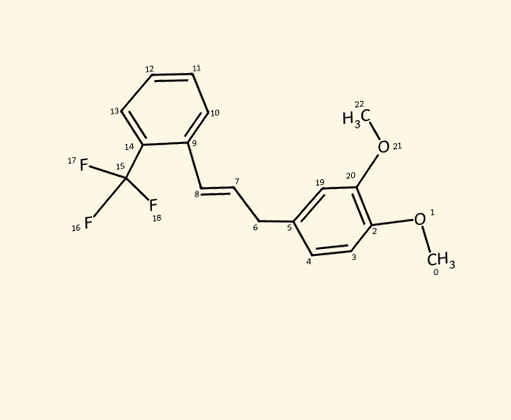 COc1ccc(C/C=C/c2ccccc2C(F)(F)F)cc1OC